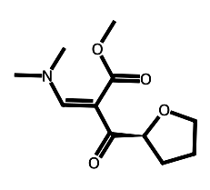 COC(=O)C(=CN(C)C)C(=O)[C@@H]1CCCO1